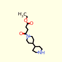 CCOC(=O)CCC(=O)N1CCC(C2CCNCC2)CC1